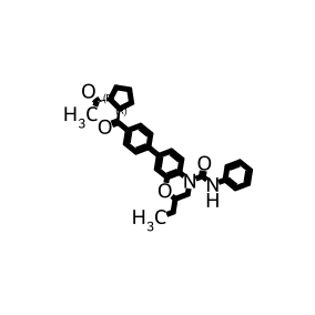 CCC1CN(C(=O)Nc2ccccc2)c2ccc(-c3ccc(C(=O)[C@@H]4CCC[C@H]4C(C)=O)cc3)cc2O1